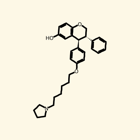 Oc1ccc2c(c1)[C@H](c1ccc(OCCCCCCN3CCCC3)cc1)[C@@H](c1ccccc1)CO2